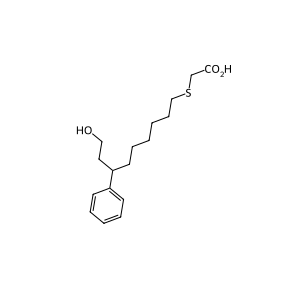 O=C(O)CSCCCCCCC(CCO)c1ccccc1